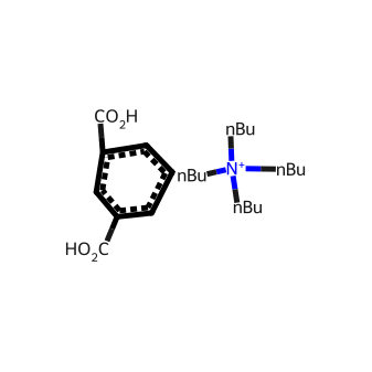 CCCC[N+](CCCC)(CCCC)CCCC.O=C(O)c1cccc(C(=O)O)c1